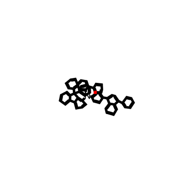 c1ccc(-c2ccccc2N(c2ccc(-c3ccc(-c4ccccc4)c4ccccc34)cc2)c2cccc3c2C(c2ccccc2)(c2ccccc2)c2ccccc2-3)cc1